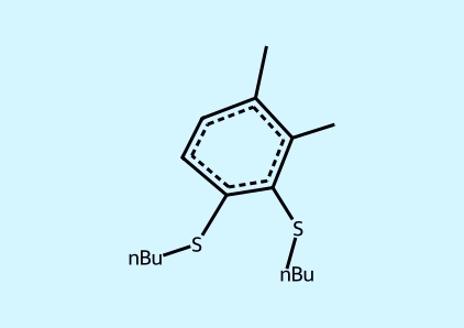 CCCCSc1ccc(C)c(C)c1SCCCC